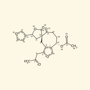 CC(=O)Cc1occ2c1C[C@]1(CC(c3ccoc3)OC1=O)C(=O)CC[C@@H]2OC(C)=O